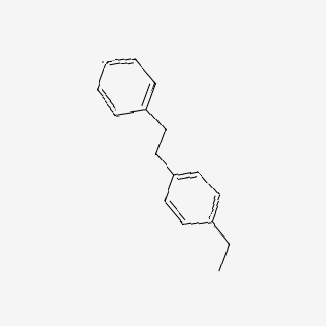 CCc1ccc(CCc2cc[c]cc2)cc1